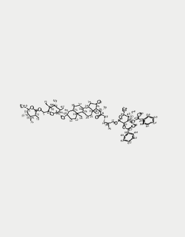 CCC1O[C@@H](OCC2O[C@@H](OC3CCC4(C)C(CCC5C4CCC4(C)C5CC(=O)C4[C@H](C)C(=O)CC[C@H](C)CO[C@@H]4OC(CC)[C@H](C)[C@H](OC(=O)c5ccccc5)C4OC(=O)c4ccccc4)C3)C(C)[C@@H](C)[C@@H]2C)C(C)[C@@H](C)[C@@H]1C